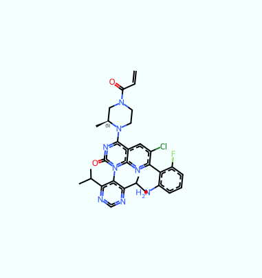 C=CC(=O)N1CCN(c2nc(=O)n(-c3c(C(C)C)ncnc3C(C)C)c3nc(-c4c(N)cccc4F)c(Cl)cc23)[C@@H](C)C1